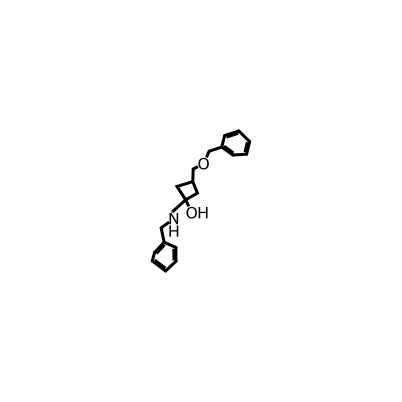 OC1(CNCc2ccccc2)CC(COCc2ccccc2)C1